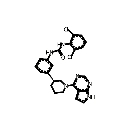 O=C(Nc1cccc([C@@H]2CCCN(c3ncnc4[nH]ccc34)C2)c1)Nc1c(Cl)cccc1Cl